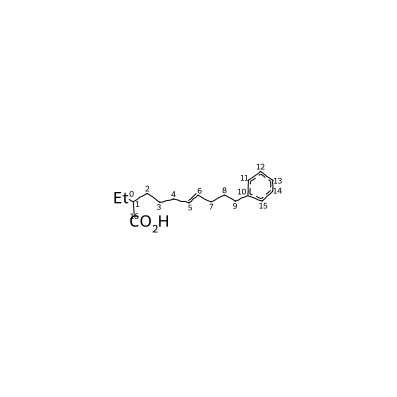 CCC(CCC/C=C/CCCc1ccccc1)C(=O)O